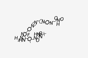 Cc1cc(C(=N)c2cc(-c3ccc(N4CCN(CC5CCN(c6ccc(N(C)CCC(=O)NC=O)cc6)CC5)CC4)cc3)cnc2N)c(F)cc1CNC(=O)c1noc(C(C)(C)C)n1